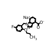 CCCOc1ccc(F)cc1Cn1ncc2c(C(=O)[O-])cccc21.[Na+]